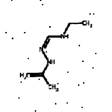 C=C(C)N/N=C\NCC